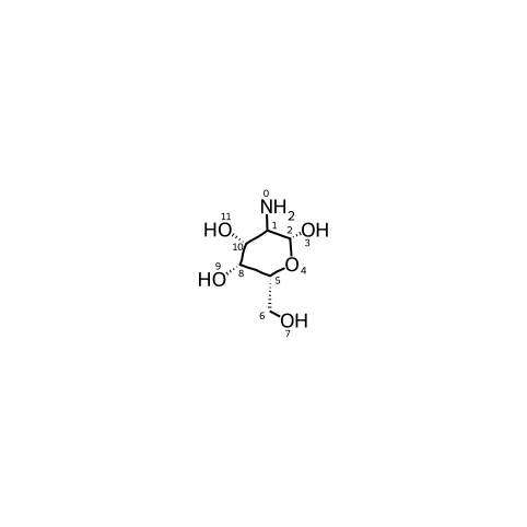 NC1[C@H](O)O[C@H](CO)[C@H](O)[C@@H]1O